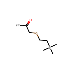 CC(C)C(=O)CSCC[Si](C)(C)C